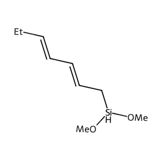 CCC=CC=CC[SiH](OC)OC